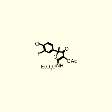 CCOC(=O)NC1=C(OC(C)=O)C(=O)C(C)(c2ccc(Cl)c(F)c2)O1